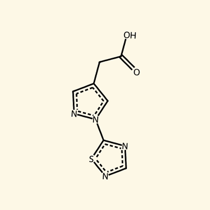 O=C(O)Cc1cnn(-c2ncns2)c1